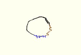 C1=C\SS/N=N\CCCCCC/1